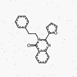 O=c1c2ccccc2nc(-c2ccco2)n1CCc1ccccc1